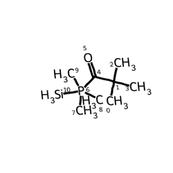 CC(C)(C)C(=O)P(C)(C)(C)[SiH3]